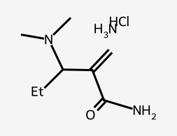 C=C(C(N)=O)C(CC)N(C)C.Cl.N